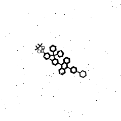 CC1(C)OB(c2ccc3c(c2)C(c2ccccc2)(c2ccccc2)c2cc(-c4c5ccccc5c(-c5ccc(C6CCCCC6)cc5)c5ccccc45)ccc2-3)OC1(C)C